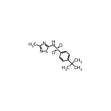 Cc1nsc(NS(=O)(=O)c2ccc(C(C)(C)C)cc2)n1